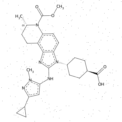 COC(=O)N1c2ccc3c(nc(Nc4cc(C5CC5)nn4C)n3[C@H]3CC[C@H](C(=O)O)CC3)c2CC[C@@H]1C